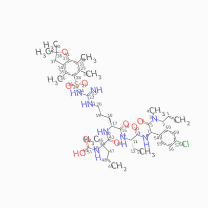 C=CCN(C)C(=O)[C@H](NC(=O)[C@H](CC)NC(=O)[C@H](CCCNC(=N)NS(=O)(=O)c1c(C)c(C)c2c(c1C)CC(C)(C)O2)NC(=O)[C@@](C)(CC=C)NC(=O)O)c1ccc(Cl)cc1